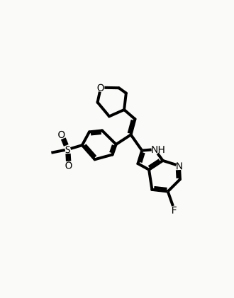 CS(=O)(=O)c1ccc(C(=CC2CCOCC2)c2cc3cc(F)cnc3[nH]2)cc1